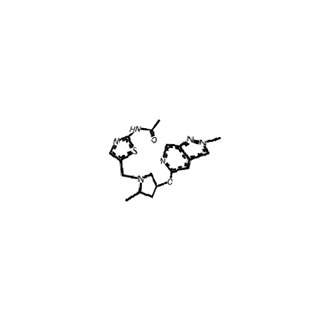 CC(=O)Nc1ncc(CN2CC(Oc3cc4cn(C)nc4cn3)CC2C)s1